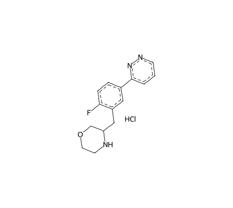 Cl.Fc1ccc(-c2cccnn2)cc1CC1COCCN1